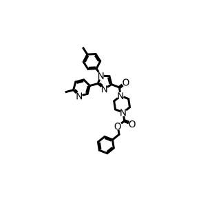 Cc1ccc(-n2cc(C(=O)N3CCN(C(=O)OCc4ccccc4)CC3)nc2-c2ccc(C)nc2)cc1